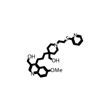 COc1ccc2ncc(CO)c(CCCC3(CO)CCN(CCSc4ccccn4)CC3)c2c1